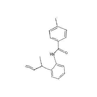 [CH2]c1ccc(C(=O)Nc2ccccc2C(C)C=C)cc1